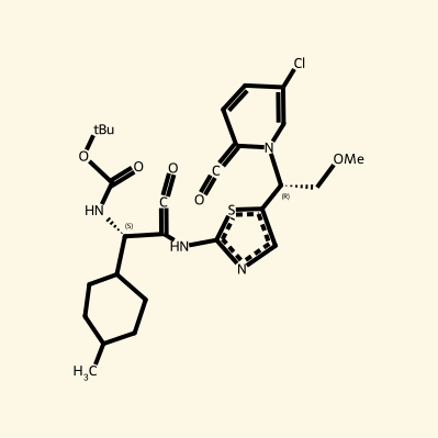 COC[C@H](c1cnc(NC(=C=O)[C@@H](NC(=O)OC(C)(C)C)C2CCC(C)CC2)s1)N1C=C(Cl)C=CC1=C=O